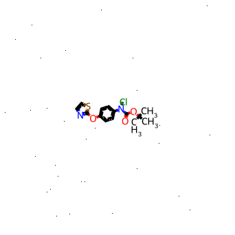 CC(C)(C)OC(=O)N(Cl)c1ccc(Oc2nccs2)cc1